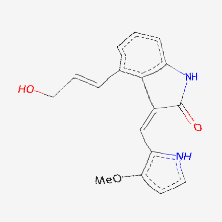 COc1cc[nH]c1C=C1C(=O)Nc2cccc(C=CCO)c21